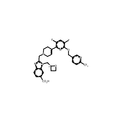 O=C(O)c1ccc2nc(CN3CC=C(c4nc(OCc5ccc(C(F)(F)F)nc5)c(F)cc4F)CC3)n(C[C@@H]3CCO3)c2c1